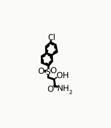 NC(=O)[C@H](O)CS(=O)(=O)c1ccc2cc(Cl)ccc2c1